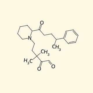 CC(CCC(=O)C1CCCCN1CCC(C)(C)C(=O)C=O)c1ccccc1